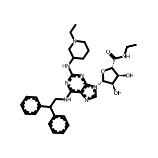 CCNC(=O)[C@H]1O[C@@H](n2cnc3c(NCC(c4ccccc4)c4ccccc4)nc(NC4CCCN(CC)C4)nc32)[C@H](O)[C@@H]1O